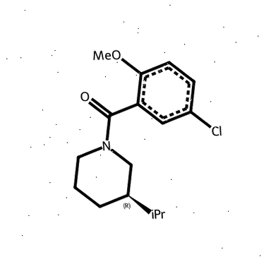 COc1ccc(Cl)cc1C(=O)N1CCC[C@H](C(C)C)C1